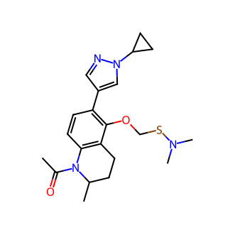 CC(=O)N1c2ccc(-c3cnn(C4CC4)c3)c(OCSN(C)C)c2CCC1C